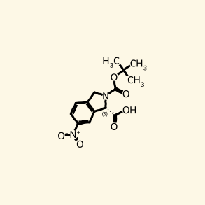 CC(C)(C)OC(=O)N1Cc2ccc([N+](=O)[O-])cc2[C@H]1C(=O)O